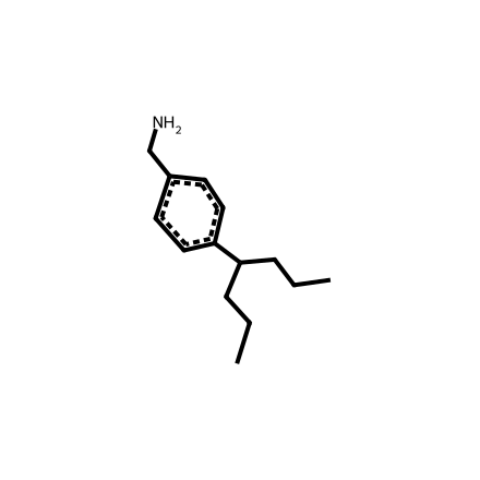 CCCC(CCC)c1ccc(CN)cc1